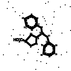 O=C(O)C1CCC(N(Cc2ccccc2)Cc2ccccc2)C1